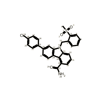 CS(=O)(=O)c1ccccc1Cn1c2cc(-c3ccc(Cl)cc3)c[c]c2c2c(C(N)=O)cccc21